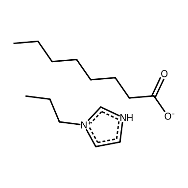 CCCCCCCC(=O)[O-].CCC[n+]1cc[nH]c1